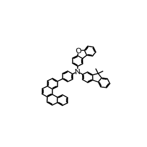 CC1(C)c2ccccc2-c2ccc(N(c3ccc(-c4ccc5ccc6ccc7ccccc7c6c5c4)cc3)c3ccc4oc5ccccc5c4c3)cc21